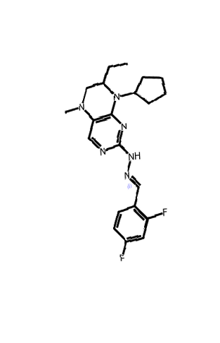 CCC1CN(C)c2cnc(N/N=C/c3ccc(F)cc3F)nc2N1C1CCCC1